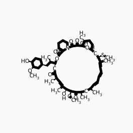 CO[C@@H]1C(=O)[C@H](C)C[C@H](C)/C=C/C=C/C=C(\C)[C@H](SC)C[C@@H]2CC[C@@H](C)[C@@](O)(O2)C(=O)C(=O)N2CCCC[C@H]2C(=O)O[C@@H]([C@H](C)C[C@@H]2CC[C@H](O)[C@H](OC)C2)CC(=O)[C@H](C)/C=C(\C)[C@H]1O